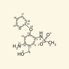 CS(=O)(=O)Nc1cc(CO)c(N)cc1Oc1ccccc1